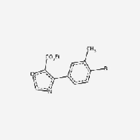 CCOC(=O)c1ocnc1-c1ccc(Br)c(C)c1